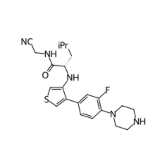 CC(C)C[C@H](Nc1cscc1-c1ccc(N2CCNCC2)c(F)c1)C(=O)NCC#N